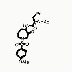 [CH2]C(=O)N[C@@H](CC(C)C)C(=O)NC1CCCN(S(=O)(=O)c2ccc(OC)cc2)CC1=O